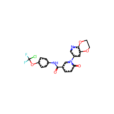 O=C(Nc1ccc(OC(F)(F)Cl)cc1)c1ccc(=O)n(-c2cnc3c(c2)OCCO3)c1